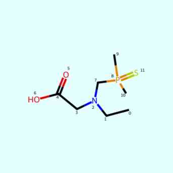 CCN(CC(=O)O)CP(C)(C)=S